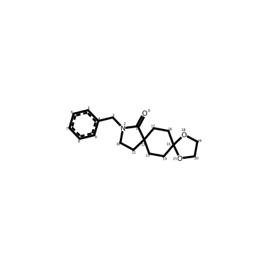 O=C1N(Cc2ccccc2)CCC12CCC1(CC2)OCCO1